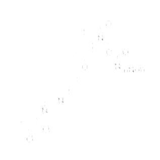 CCCCCCCCCN(C)C(=O)OCN1C(=O)CCc2ccc(OCCCCN3CCN(c4cccc(Cl)c4Cl)CC3)cc21